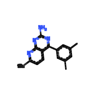 Cc1cc(C)cc(-c2nc(N)nc3nc(C(C)(C)C)ccc23)c1